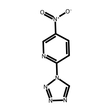 O=[N+]([O-])c1ccc(-n2cnnn2)nc1